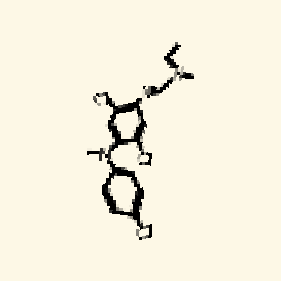 CCN(C)C=Nc1cc(Cl)c(N(C)c2ccc(Cl)cc2)cc1Cl